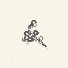 CCCCOC(=O)NC[C@]1(c2ccccc2)Oc2cc(F)c(Cl)c(-c3c(C#N)ccc(OC[C@H](C)OC4CCCCO4)c3F)c2[C@@H]1C